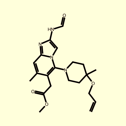 C=CCOC1(C)CCN(c2c(CC(=O)OC)c(C)cc3nc(NC=O)cn23)CC1